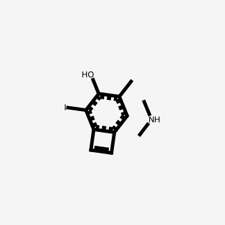 CNC.Cc1cc2c(c(I)c1O)C=C2